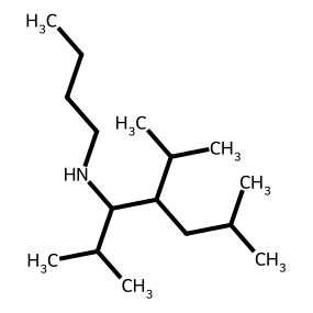 CCCCNC(C(C)C)C(CC(C)C)C(C)C